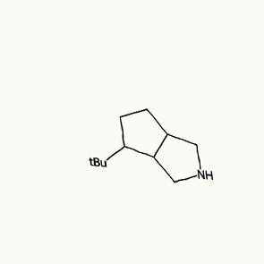 CC(C)(C)C1CCC2CNCC21